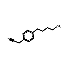 CCCCCc1ccc(CC#N)cc1